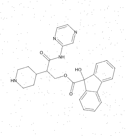 O=C(Nc1cnccn1)C(COC(=O)C1(O)c2ccccc2-c2ccccc21)C1CCNCC1